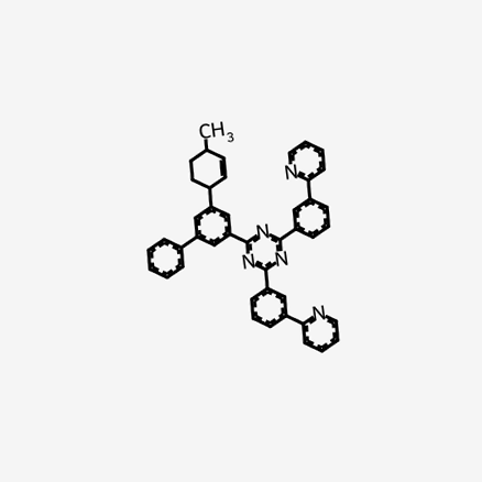 CC1C=CC(c2cc(-c3ccccc3)cc(-c3nc(-c4cccc(-c5ccccn5)c4)nc(-c4cccc(-c5ccccn5)c4)n3)c2)CC1